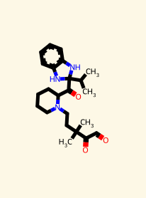 CC(C)C1(C(=O)C2CCCCN2CCC(C)(C)C(=O)C=O)Nc2ccccc2N1